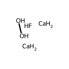 F.OO.[CaH2].[CaH2]